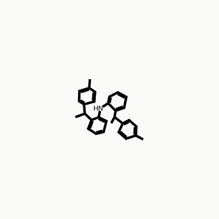 Cc1ccc(C(C)c2ccccc2Nc2ccccc2C(C)c2ccc(C)cc2)cc1